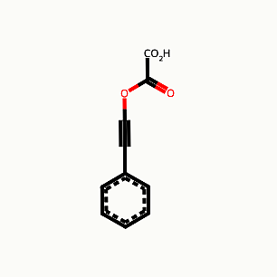 O=C(O)C(=O)OC#Cc1ccccc1